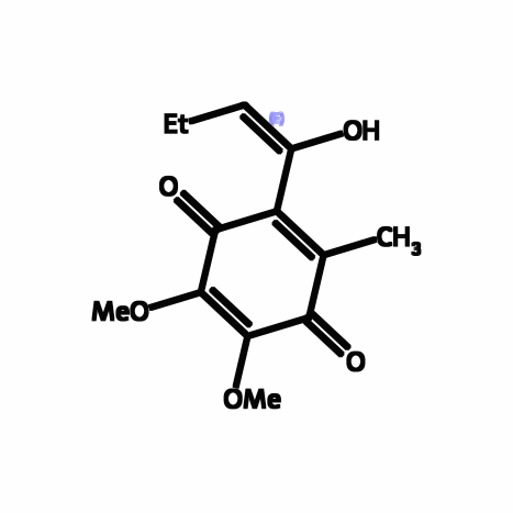 CC/C=C(/O)C1=C(C)C(=O)C(OC)=C(OC)C1=O